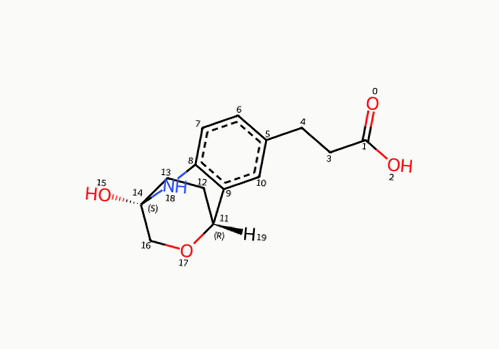 O=C(O)CCc1ccc2c(c1)[C@H]1CC[C@](O)(CO1)N2